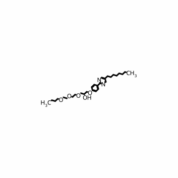 CCCCCCCCc1cnc(-c2ccc(OC[C@H](O)COCCOCCOCCCC)cc2)nc1